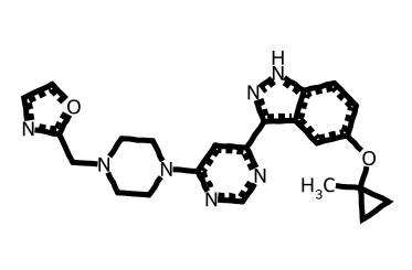 CC1(Oc2ccc3[nH]nc(-c4cc(N5CCN(Cc6ncco6)CC5)ncn4)c3c2)CC1